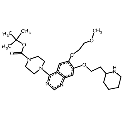 COCCOc1cc2c(N3CCN(C(=O)OC(C)(C)C)CC3)ncnc2cc1OCCC1CCCCN1